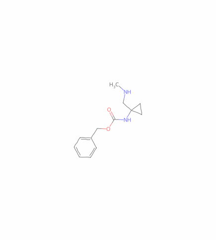 CNCC1(NC(=O)OCc2ccccc2)CC1